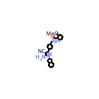 COc1ccccc1C(=O)NCc1ccc(-c2nn(C3Cc4ccccc4C3)c(N)c2C#N)cc1